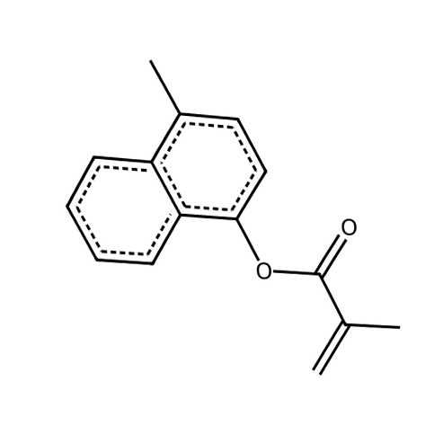 C=C(C)C(=O)Oc1ccc(C)c2ccccc12